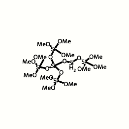 CO[Si](OC)(OC)O[SiH2]O[Si](O[Si](OC)(OC)OC)(O[Si](OC)(OC)OC)O[Si](OC)(OC)OC